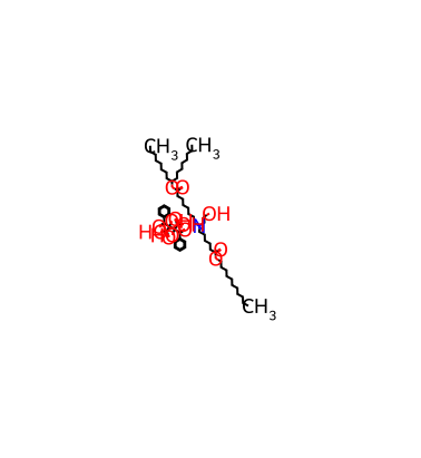 CCCCCCCCCCCOC(=O)CCCCCN(CCO)CCCCCCCC(=O)OC(CCCCCCCC)CCCCCCCC.O=C(O)C(O)(C(=O)c1ccccc1)C(O)(C(=O)O)C(=O)c1ccccc1